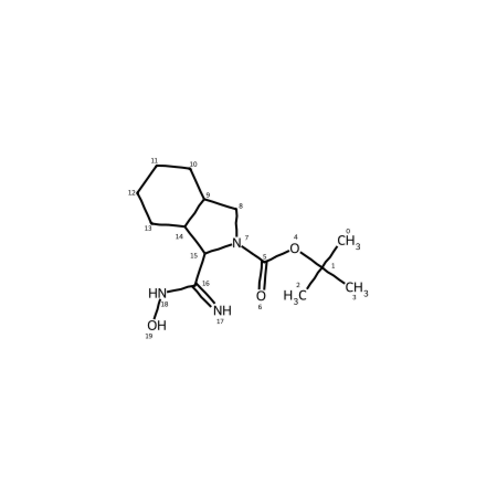 CC(C)(C)OC(=O)N1CC2CCCCC2C1C(=N)NO